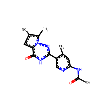 Cc1c(C#N)cc2c(=O)[nH]c(-c3cnc(NC(=O)C(C)(C)C)cc3C(F)(F)F)nn12